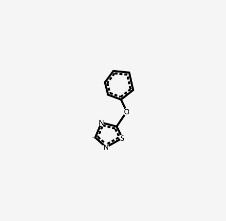 [c]1nsc(Oc2ccccc2)n1